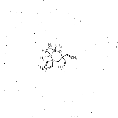 C=CC1(C=C)C[Si](C=C)(C=C)[Si](C)(C)[Si](C)(C)O1